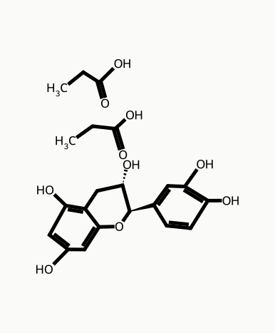 CCC(=O)O.CCC(=O)O.Oc1cc(O)c2c(c1)O[C@H](c1ccc(O)c(O)c1)[C@@H](O)C2